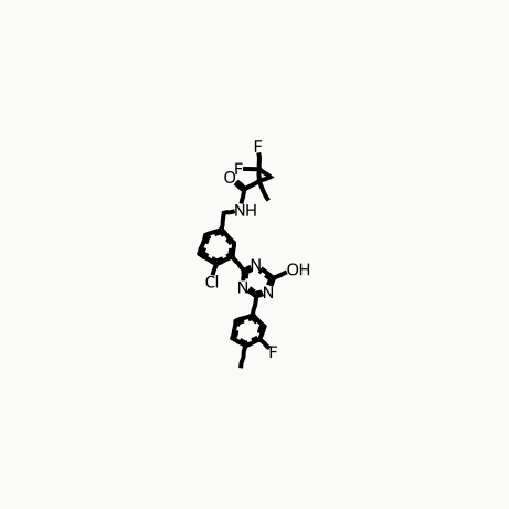 Cc1ccc(-c2nc(O)nc(-c3cc(CNC(=O)C4(C)CC4(F)F)ccc3Cl)n2)cc1F